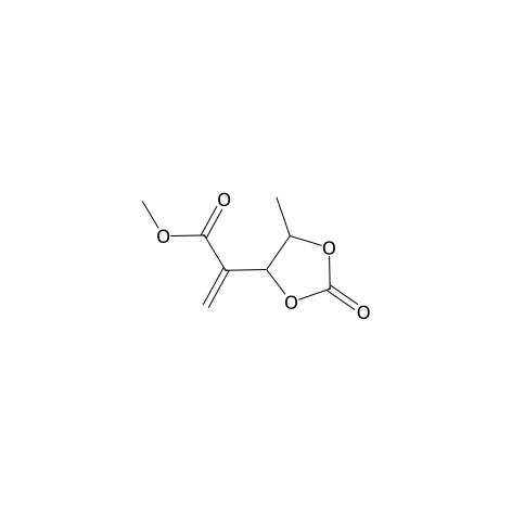 C=C(C(=O)OC)C1OC(=O)OC1C